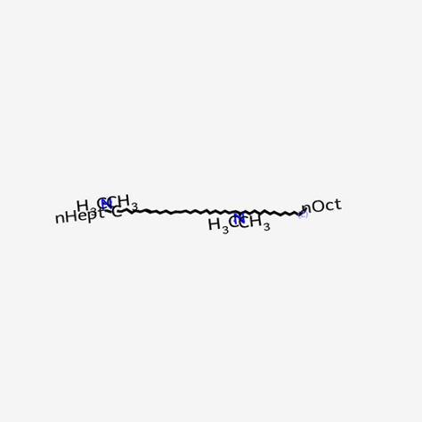 CCCCCCCC/C=C\CCCCCCCCCCCC(CCCCCCCCCCCCCCCCCC=CCCCCCCCC(CCCCCCC)N(C)C)N(C)C